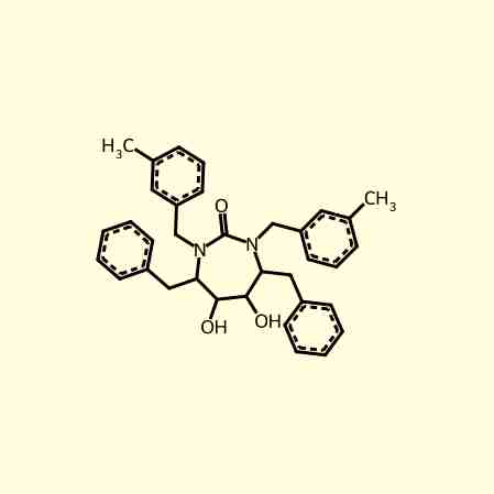 Cc1cccc(CN2C(=O)N(Cc3cccc(C)c3)C(Cc3ccccc3)C(O)C(O)C2Cc2ccccc2)c1